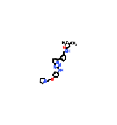 CC(C)CC(=O)NCc1cccc(-c2cccc3nc(Nc4ccc(OCCN5CCCC5)cc4)nn23)c1